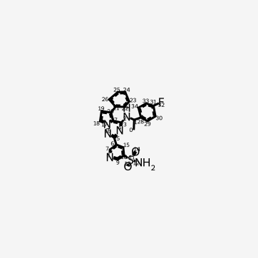 CC(Nc1nc(-c2cncc(S(N)(=O)=O)c2)nn2ccc(-c3ccccc3)c12)c1ccc(F)cc1